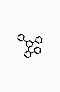 c1ccc(-c2cc(-c3ccccc3)cc(-c3ccccc3-c3ccccc3)c2)cc1